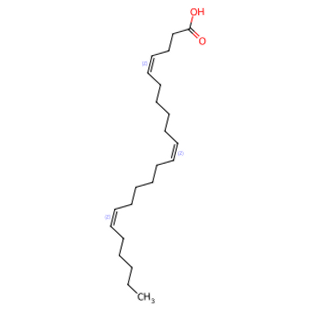 CCCCC/C=C\CCCC/C=C\CCCC/C=C\CCC(=O)O